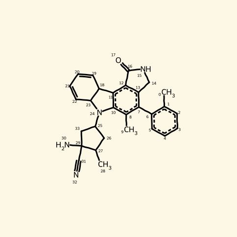 Cc1ccccc1-c1c(C)c2c(c3c1CNC3=O)C1C=CC=CC1N2C1CC(C)C(N)(C#N)C1